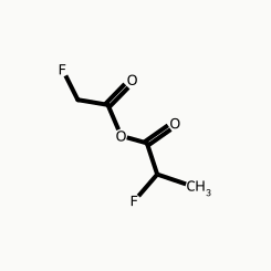 CC(F)C(=O)OC(=O)CF